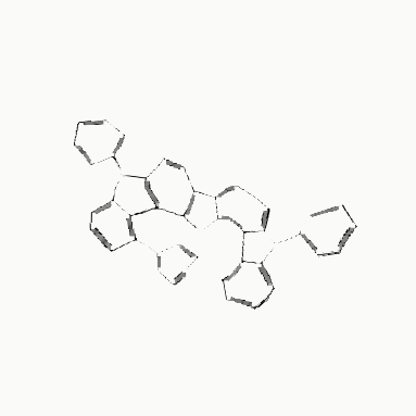 c1ccc(-c2cccc3c2c2c4sc5c(ccc6c5c5ccccc5n6-c5ccccc5)c4ccc2n3-c2ccccc2)cc1